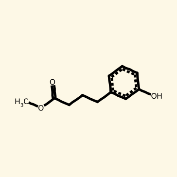 COC(=O)CCCc1cccc(O)c1